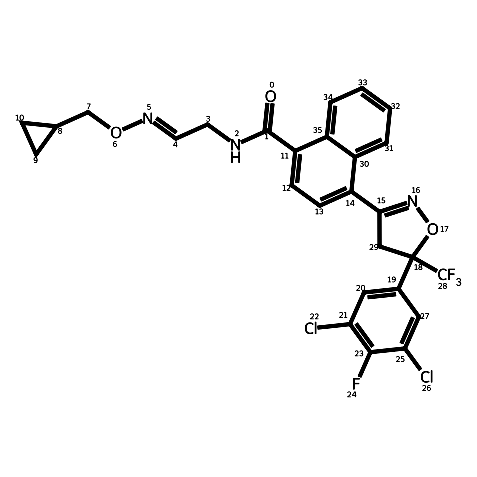 O=C(NCC=NOCC1CC1)c1ccc(C2=NOC(c3cc(Cl)c(F)c(Cl)c3)(C(F)(F)F)C2)c2ccccc12